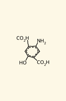 Nc1cc(C(=O)O)c(O)cc1C(=O)O